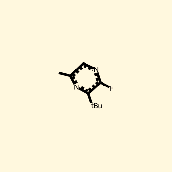 Cc1cnc(F)c(C(C)(C)C)n1